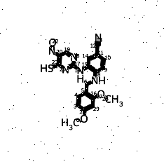 COc1ccc(CNc2ccc(C#N)cc2Nc2ncc(N=O)c(S)n2)c(OC)c1